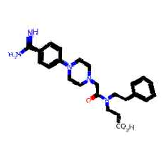 N=C(N)c1ccc(N2CCN(CC(=O)N(CCC(=O)O)CCc3ccccc3)CC2)cc1